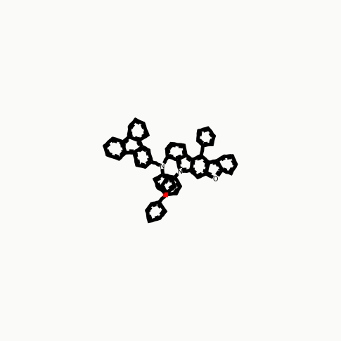 c1ccc(-c2ccc(-n3c4cc5oc6ccccc6c5c(-c5ccccc5)c4c4cccc(N(c5ccccc5)c5ccc6c7ccccc7c7ccccc7c6c5)c43)cc2)cc1